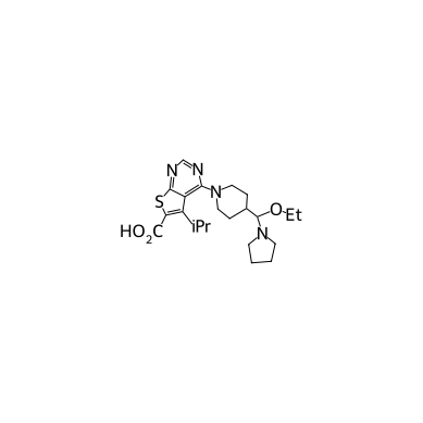 CCOC(C1CCN(c2ncnc3sc(C(=O)O)c(C(C)C)c23)CC1)N1CCCC1